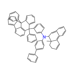 CC12CCC=CC1=c1ccccc1=CC2N(c1ccc(-c2ccccc2)cc1)c1cccc(C2(c3ccccc3)c3ccccc3C3(c4ccccc4)c4ccccc4-c4cccc2c43)c1